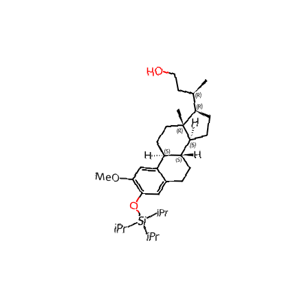 COc1cc2c(cc1O[Si](C(C)C)(C(C)C)C(C)C)CC[C@@H]1[C@@H]2CC[C@]2(C)[C@@H]([C@H](C)CCO)CC[C@@H]12